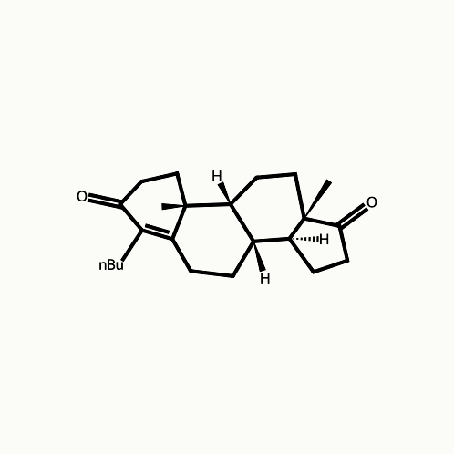 CCCCC1=C2CC[C@@H]3[C@@H](CC[C@]4(C)C(=O)CC[C@@H]34)[C@@]2(C)CCC1=O